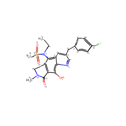 CCN(c1c2c(c(O)c3ncc(Cc4ccc(F)cc4)cc13)C(=O)N(C)C2)S(C)(=O)=O